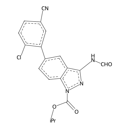 CC(C)OC(=O)n1nc(NC=O)c2cc(-c3cc(C#N)ccc3Cl)ccc21